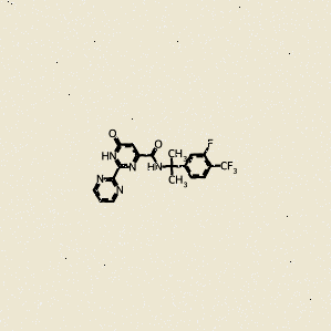 CC(C)(NC(=O)c1cc(=O)[nH]c(-c2ncccn2)n1)c1ccc(C(F)(F)F)c(F)c1